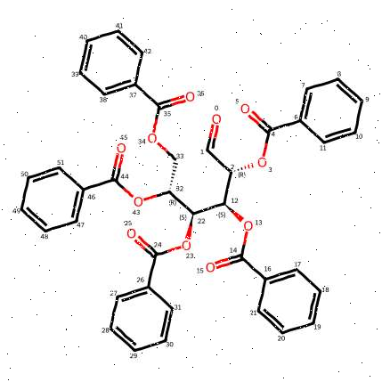 O=C[C@H](OC(=O)c1ccccc1)[C@@H](OC(=O)c1ccccc1)[C@@H](OC(=O)c1ccccc1)[C@@H](COC(=O)c1ccccc1)OC(=O)c1ccccc1